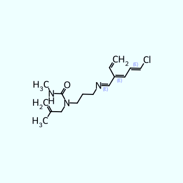 C=CC(/C=N/CCCN(CC(=C)C)C(=O)NC)=C\C=C\Cl